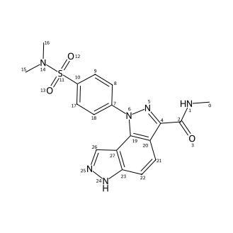 CNC(=O)c1nn(-c2ccc(S(=O)(=O)N(C)C)cc2)c2c1ccc1[nH]ncc12